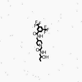 CCC(O)CNC(=O)CN1CCC(CNC(=O)c2cc(C(F)(F)F)cc(C(F)(F)F)c2)CC1